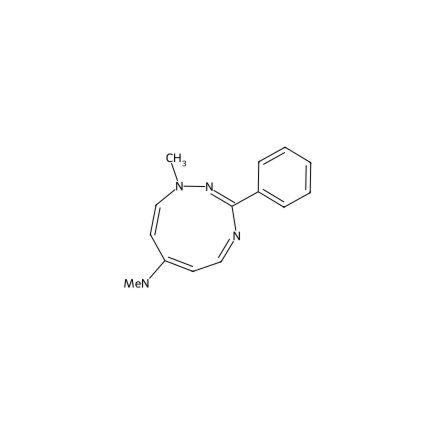 CNc1ccnc(-c2ccccc2)nn(C)cc1